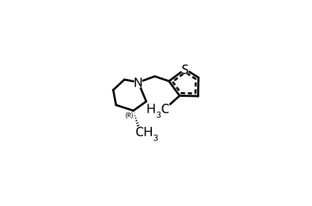 Cc1ccsc1CN1CCC[C@@H](C)C1